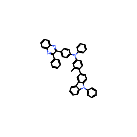 Cc1cc(N(c2ccccc2)c2ccc(-c3nc4ccccc4nc3-c3ccccc3)cc2)ccc1-c1ccc2c(c1)c1ccccc1n2-c1ccccc1